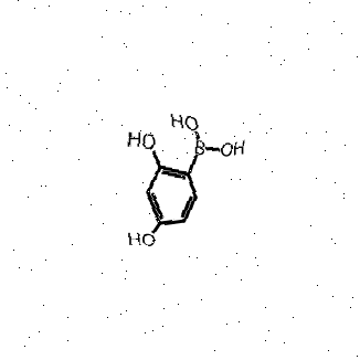 OB(O)c1ccc(O)cc1O